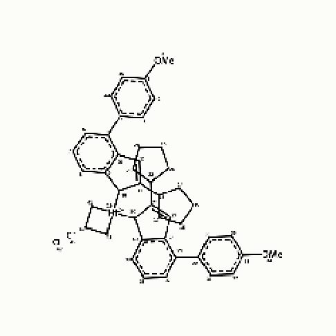 COc1ccc(-c2cccc3c2C=C(C2CCCC2)[CH]3[Hf+2]2([CH]3C(C4CCCC4)=Cc4c(-c5ccc(OC)cc5)cccc43)[CH2]C[CH2]2)cc1.[Cl-].[Cl-]